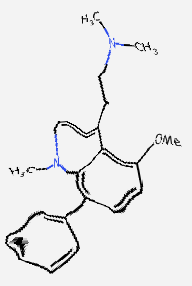 COc1ccc(-c2ccccc2)c2c1c(CCN(C)C)cn2C